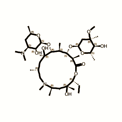 CC[C@H]1OC(=O)[C@H](C)[C@@H](O[C@H]2C[C@@](C)(OC)[C@@H](O)[C@H](C)O2)[C@H](C)[C@@H](O[C@@H]2O[C@H](C)C[C@H](N(C)C)[C@H]2O)[C@](C)(O)C[C@@H](C)CN(C)[C@H](C)[CH][C@@]1(C)O